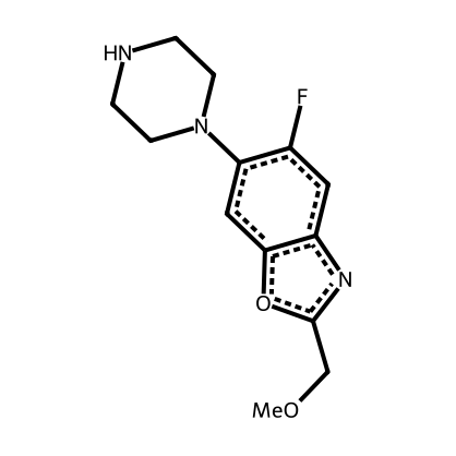 COCc1nc2cc(F)c(N3CCNCC3)cc2o1